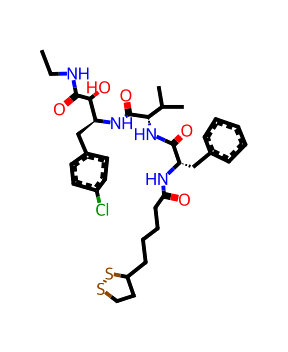 CCNC(=O)C(O)[C@H](Cc1ccc(Cl)cc1)NC(=O)[C@@H](NC(=O)[C@H](Cc1ccccc1)NC(=O)CCCCC1CCSS1)C(C)C